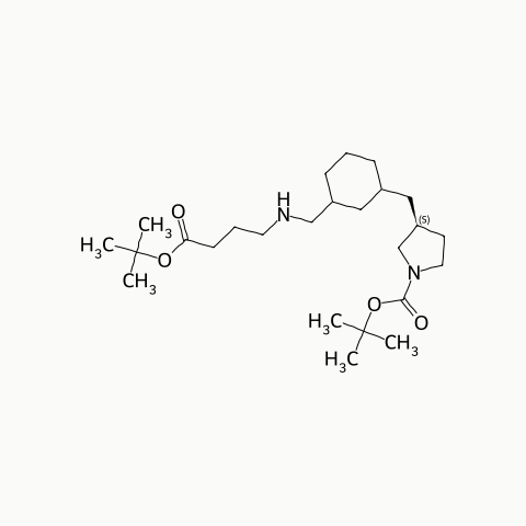 CC(C)(C)OC(=O)CCCNCC1CCCC(C[C@H]2CCN(C(=O)OC(C)(C)C)C2)C1